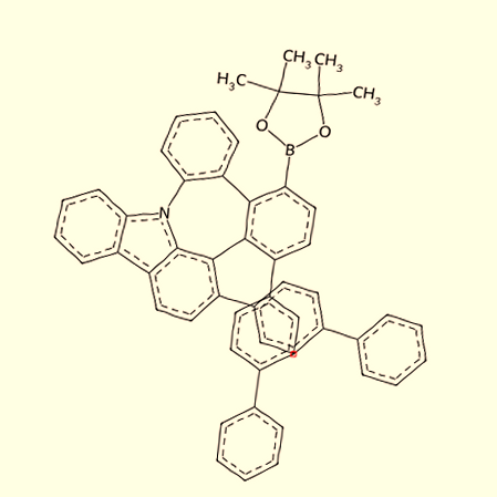 CC1(C)OB(c2ccc(-c3ccc(-c4ccccc4)cc3)c3c2-c2ccccc2-n2c4ccccc4c4ccc(-c5ccc(-c6ccccc6)cc5)c-3c42)OC1(C)C